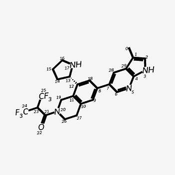 Cc1c[nH]c2ncc(-c3cc4c(c([C@@H]5CCCN5)c3)CN(C(=O)C(C(F)(F)F)C(F)(F)F)CC4)cc12